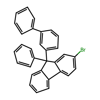 Brc1ccc2c(c1)C(c1ccccc1)(c1cccc(-c3ccccc3)c1)c1ccccc1-2